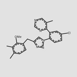 COc1c(Cc2cn(-c3ccc(Cl)cc3-c3ncncc3C)nn2)ccc(C)c1C